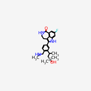 CNCc1ccc(-c2[nH]c3cc(F)cc4c3c2CCNC4=O)cc1C(C)C[Si](C)(C)O